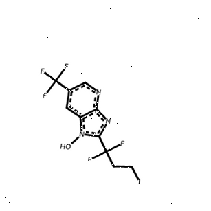 On1c(C(F)(F)CCI)nc2ncc(C(F)(F)F)cc21